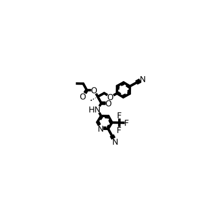 CCC(=O)O[C@@](C)(COc1ccc(C#N)cc1)C(=O)Nc1cnc(C#N)c(C(F)(F)F)c1